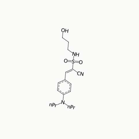 CCCN(CCC)c1ccc(/C=C(\C#N)S(=O)(=O)NCCCO)cc1